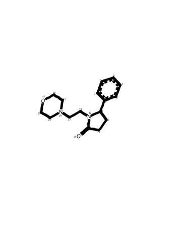 O=C1CCC(c2cc[c]cc2)N1CCN1CCOCC1